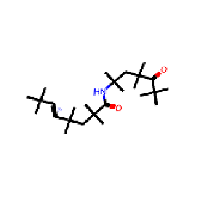 CC(C)(C)/C=C/C(C)(C)CC(C)(C)C(=O)NC(C)(C)CC(C)(C)C(=O)C(C)(C)C